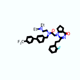 CCN(CC)CCN(Cc1ccc(-c2ccc(C(F)(F)F)cc2)cc1)C(=O)Cn1c(CCc2ccccc2F)nc(=O)c2c1CCC2